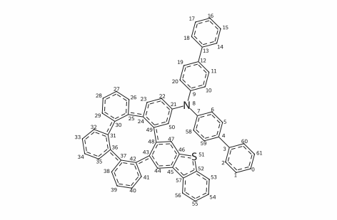 c1ccc(-c2ccc(N(c3ccc(-c4ccccc4)cc3)c3ccc4c5ccccc5c5ccccc5c5ccccc5c5cc6c(cc5c4c3)sc3ccccc36)cc2)cc1